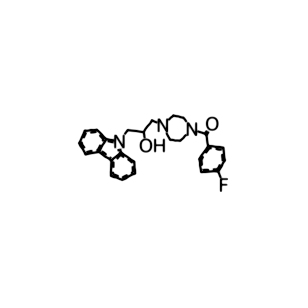 O=C(c1ccc(F)cc1)N1CCN(CC(O)Cn2c3ccccc3c3ccccc32)CC1